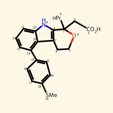 CCCC1(CC(=O)O)OCCc2c1[nH]c1cccc(-c3ccc(SC)cc3)c21